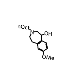 CCCCCCCCN1CCc2cc(OC)ccc2C(O)C1